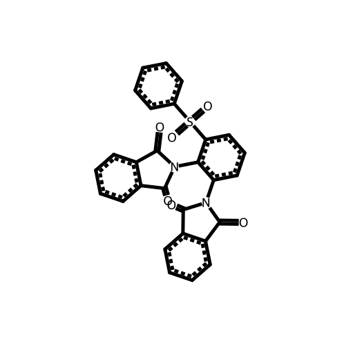 O=C1c2ccccc2C(=O)N1c1cccc(S(=O)(=O)c2ccccc2)c1N1C(=O)c2ccccc2C1=O